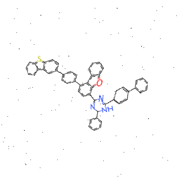 C1=CC(C2=NC(c3ccc(-c4ccc(-c5ccc6sc7ccccc7c6c5)cc4)c4c3oc3ccccc34)=NC(c3ccccc3)N2)CC=C1c1ccccc1